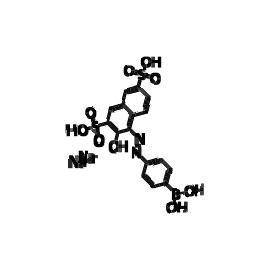 O=S(=O)(O)c1ccc2c(N=Nc3ccc(B(O)O)cc3)c(O)c(S(=O)(=O)O)cc2c1.[Na].[Na]